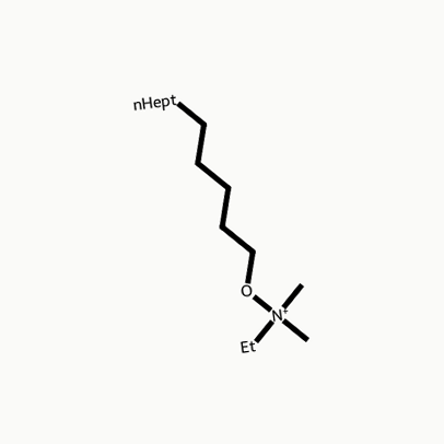 CCCCCCCCCCCCO[N+](C)(C)CC